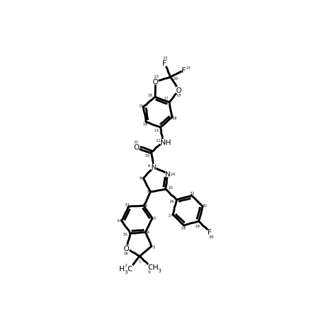 CC1(C)Cc2cc(C3CN(C(=O)Nc4ccc5c(c4)OC(F)(F)O5)N=C3c3ccc(F)cc3)ccc2O1